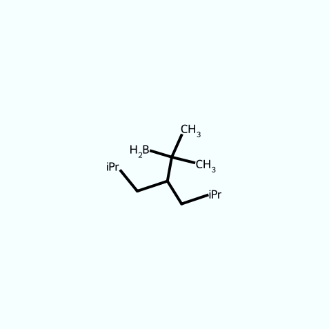 BC(C)(C)C(CC(C)C)CC(C)C